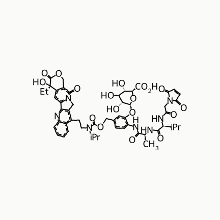 CC[C@@]1(O)C(=O)OCc2c1cc1n(c2=O)Cc2c-1nc1ccccc1c2CCN(C(=O)OCc1ccc(NC(=O)[C@H](C)NC(=O)[C@@H](NC(=O)CN2C(=O)C=CC2=O)C(C)C)c(O[C@@H]2O[C@H](C(=O)O)[C@@H](O)[C@H](O)[C@H]2O)c1)C(C)C